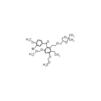 CCc1c(OCOC)cc(OCOC)c(C(=O)c2ccc(OC)c(Br)c2)c1CCOCC1COC(C)(C)O1